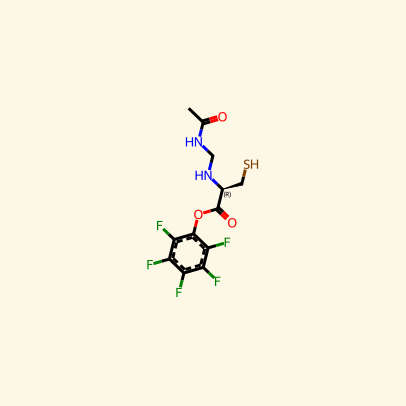 CC(=O)NCN[C@@H](CS)C(=O)Oc1c(F)c(F)c(F)c(F)c1F